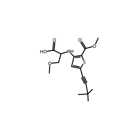 COCC(Nc1cc(C#CC(C)(C)C)sc1C(=O)OC)C(=O)O